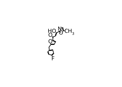 Cc1cnc(C(O)=CC(=O)c2ccc(Cc3ccc(F)cc3)o2)o1